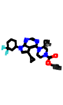 C[C@H]1CN(C(=O)OC(C)(C)C)CCN1c1ncnc2c1c(C1CC1)cn2C1CCCC(F)(F)C1